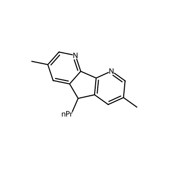 CCCC1c2cc(C)cnc2-c2ncc(C)cc21